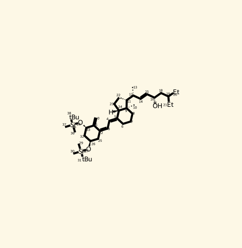 C=C1/C(=C\C=C2/CCC[C@]3(C)[C@@H]([C@H](C)/C=C/[C@@H](O)CC(CC)CC)CC[C@@H]23)C[C@@H](O[Si](C)(C)C(C)(C)C)C[C@@H]1O[Si](C)(C)C(C)(C)C